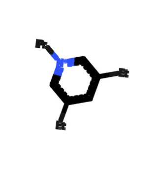 CCc1cc(CC)c[n+](C(C)C)c1